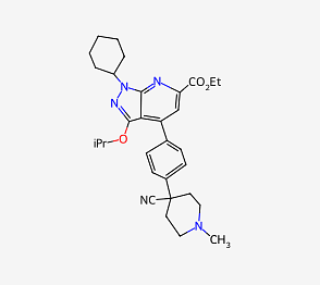 CCOC(=O)c1cc(-c2ccc(C3(C#N)CCN(C)CC3)cc2)c2c(OC(C)C)nn(C3CCCCC3)c2n1